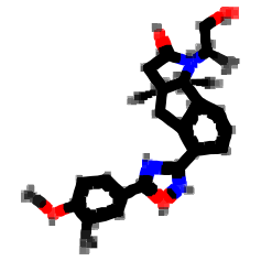 CC(C)Oc1ccc(-c2nc(-c3cccc4c3C[C@H]3CC(=O)N([C@@H](CO)C(C)C)[C@@H]43)no2)cc1C#N